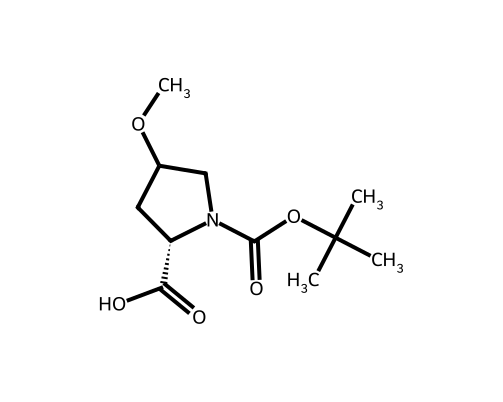 COC1C[C@@H](C(=O)O)N(C(=O)OC(C)(C)C)C1